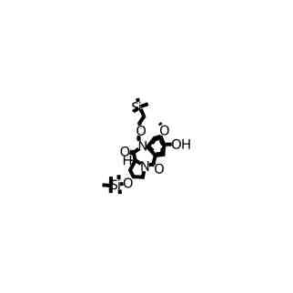 COc1cc2c(cc1O)C(=O)N1C[C@H](O[Si](C)(C)C(C)(C)C)C[C@H]1C(=O)N2COCC[Si](C)(C)C